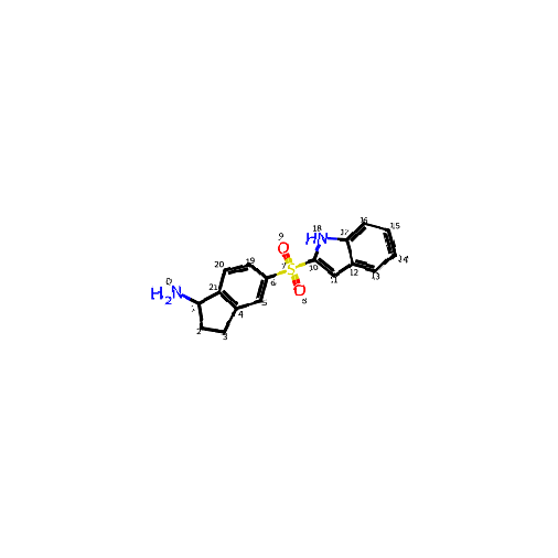 NC1CCc2cc(S(=O)(=O)c3cc4ccccc4[nH]3)ccc21